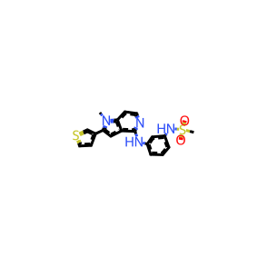 Cn1c(-c2ccsc2)cc2c(Nc3cccc(NS(C)(=O)=O)c3)nccc21